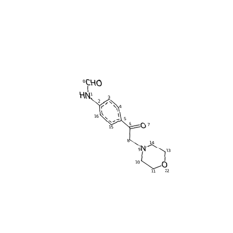 O=CNc1ccc(C(=O)CN2CCOCC2)cc1